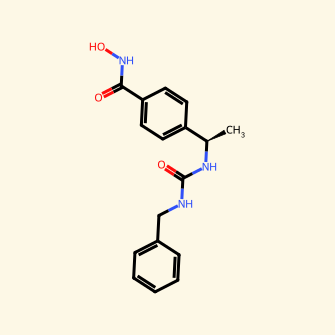 C[C@@H](NC(=O)NCc1ccccc1)c1ccc(C(=O)NO)cc1